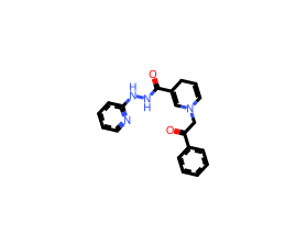 O=C(NNc1ccccn1)C1=CN(CC(=O)c2ccccc2)C=CC1